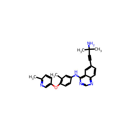 Cc1ccc(Oc2ccc(Nc3ncnc4ccc(C#CC(C)(C)N)cc34)cc2C)cn1